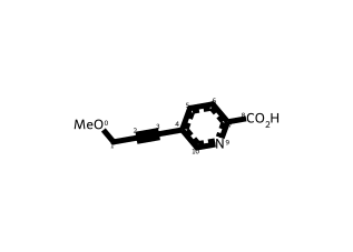 COCC#Cc1ccc(C(=O)O)nc1